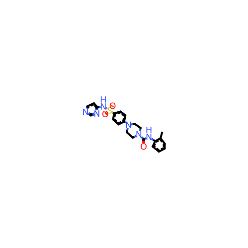 Cc1ccccc1NC(=O)N1CCN(c2ccc(S(=O)(=O)Nc3ccncn3)cc2)CC1